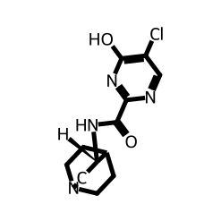 O=C(N[C@H]1CN2CCC1CC2)c1ncc(Cl)c(O)n1